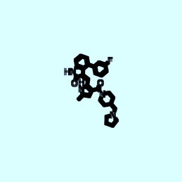 Cc1cc(C(=O)N2CCC(CN3CCCC3)CC2)c(/C=C2\C(=O)Nc3cccc(-c4cccc(F)c4)c32)[nH]1